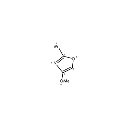 COc1coc(C(C)C)n1